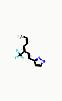 C\C=C/C=C(\C=C\c1cc[nH]n1)C(F)(F)F